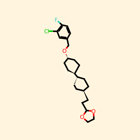 Fc1ccc(CO[C@H]2CC[C@H]([C@H]3CC[C@H](CCC4OCCO4)CC3)CC2)cc1Cl